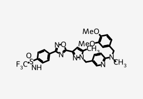 COc1ccc(CN(C)c2ccc(Cn3nc(-c4nc(-c5ccc(S(=N)(=O)C(F)(F)F)cc5)no4)cc3C)cn2)cc1OC